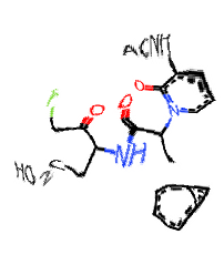 CC(=O)Nc1cccn(C(C)C(=O)NC(CC(=O)O)C(=O)CF)c1=O.c1cc2cc-2c1